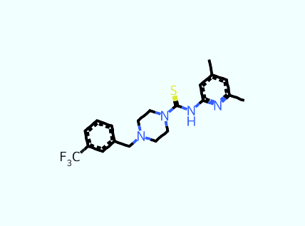 Cc1cc(C)nc(NC(=S)N2CCN(Cc3cccc(C(F)(F)F)c3)CC2)c1